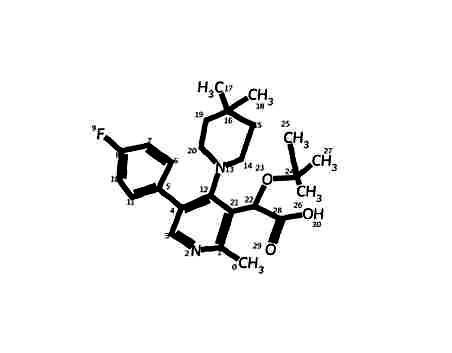 Cc1ncc(-c2ccc(F)cc2)c(N2CCC(C)(C)CC2)c1C(OC(C)(C)C)C(=O)O